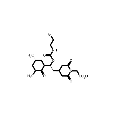 CCOC(=O)CN1C(=O)CC(C[C@@H](OC(=O)NCCBr)C2C[C@@H](C)CC(C)C2=O)CC1=O